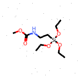 CCO[Si](CCNC(=O)OC)(OCC)OCC